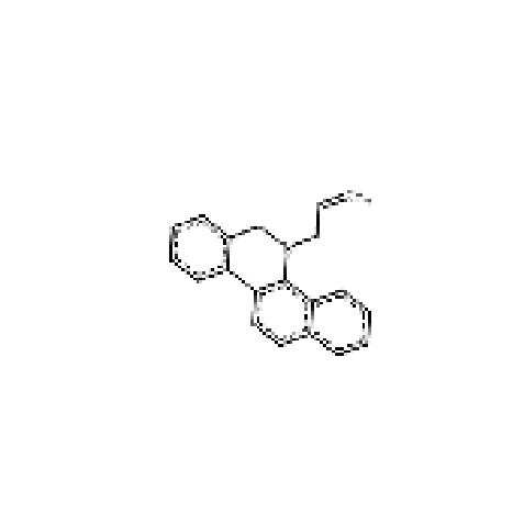 C=CCN1Cc2ccccc2-c2ccc3ccccc3c21